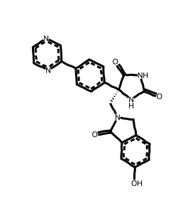 O=C1NC(=O)[C@](CN2Cc3ccc(O)cc3C2=O)(c2ccc(-c3cnccn3)cc2)N1